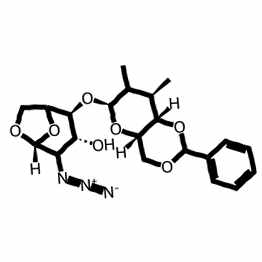 CC1[C@H](O[C@@H]2C3CO[C@H](O3)C(N=[N+]=[N-])[C@H]2O)O[C@H]2COC(c3ccccc3)O[C@H]2[C@@H]1C